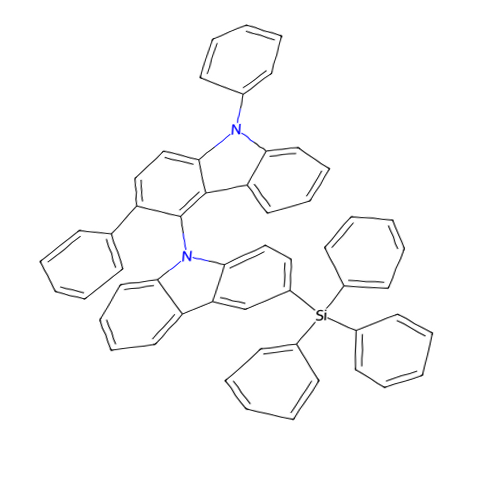 c1ccc(-c2ccc3c(c2-n2c4ccccc4c4cc([Si](c5ccccc5)(c5ccccc5)c5ccccc5)ccc42)c2ccccc2n3-c2ccccc2)cc1